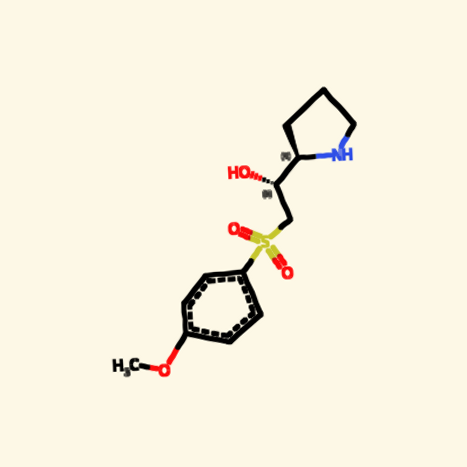 COc1ccc(S(=O)(=O)C[C@H](O)[C@H]2CCCN2)cc1